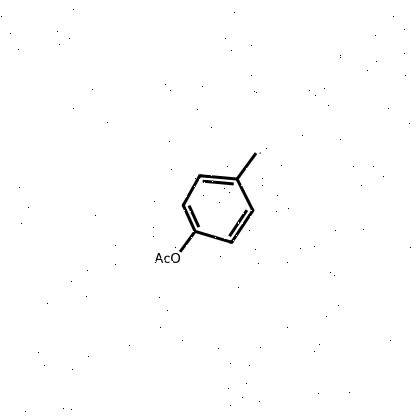 [CH2]c1ccc(OC(C)=O)cc1